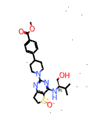 COC(=O)c1ccc(C2CCN(c3nc4c(c(N[C@@H](CO)C(C)C)n3)[S+]([O-])CC4)CC2)cc1